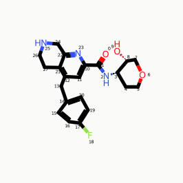 O=C(N[C@H]1CCOC[C@H]1O)c1cc(Cc2ccc(F)cc2)c2c(n1)CNCC2